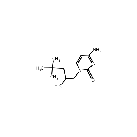 CC(Cn1ccc(N)nc1=O)CC(C)(C)C